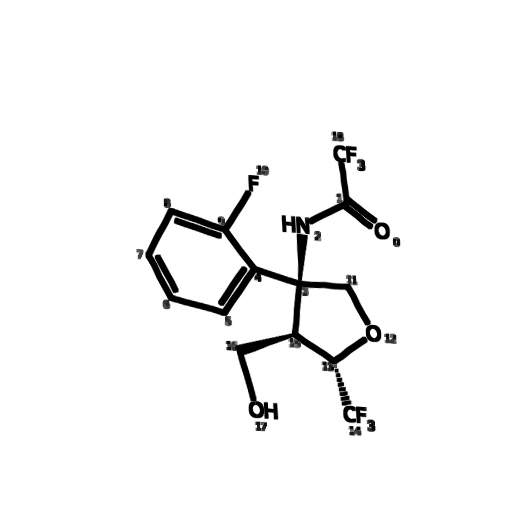 O=C(N[C@@]1(c2ccccc2F)CO[C@H](C(F)(F)F)[C@H]1CO)C(F)(F)F